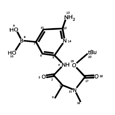 CC(C(=O)Nc1cc(B(O)O)cc(N)n1)N(C)C(=O)OC(C)(C)C